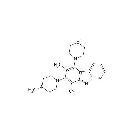 Cc1c(N2CCN(C)CC2)c(C#N)c2nc3ccccc3n2c1N1CCOCC1